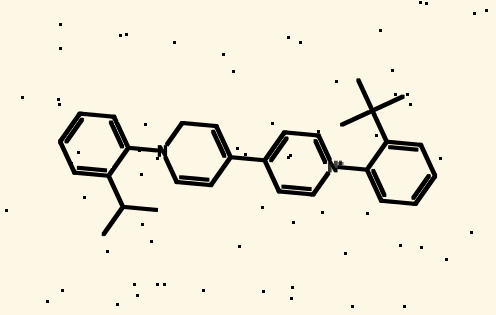 CC(C)c1ccccc1N1C=CC(c2cc[n+](-c3ccccc3C(C)(C)C)cc2)=CC1